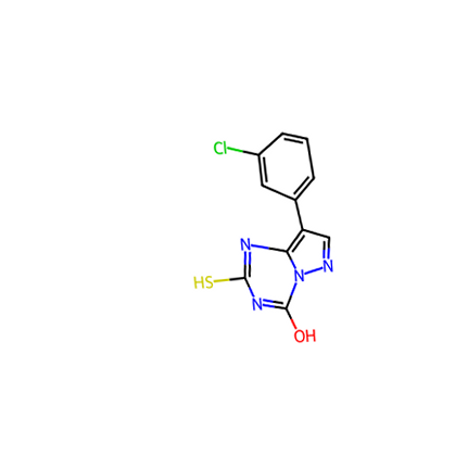 Oc1nc(S)nc2c(-c3cccc(Cl)c3)cnn12